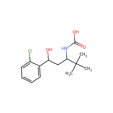 CC(C)(C)C(CC(O)c1ccccc1Cl)NC(=O)O